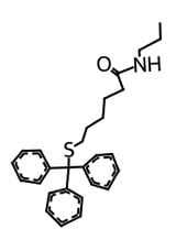 CCCNC(=O)CCCCCSC(c1ccccc1)(c1ccccc1)c1ccccc1